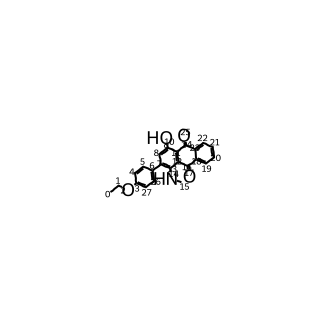 CCOc1ccc(-c2cc(O)c3c(c2NC)C(=O)c2ccccc2C3=O)cc1